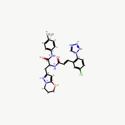 O=C(C=Cc1cc(Cl)ccc1-n1cnnn1)NC(Cc1cc2n(n1)CCCO2)C(=O)Nc1ccc(C(=O)O)cc1